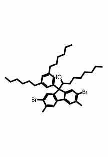 CCCCCCCC(O)C1(c2cc(CCCCCC)cc(CCCCCC)c2)c2cc(Br)c(C)cc2-c2cc(C)c(Br)cc21